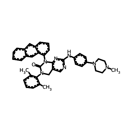 Cc1cccc(C)c1N1Cc2cnc(Nc3ccc(N4CCN(C)CC4)cc3)nc2N(c2cccc3cc4ccccc4cc23)C1=O